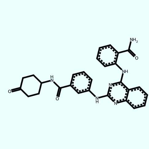 NC(=O)c1ccccc1Nc1nc(Nc2cccc(C(=O)NC3CCC(=O)CC3)c2)nc2ccccc12